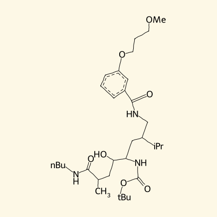 CCCCNC(=O)C(C)CC(O)C(CC(CNC(=O)c1cccc(OCCCOC)c1)C(C)C)NC(=O)OC(C)(C)C